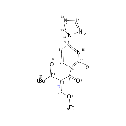 CCO/C=C(\C(=O)c1ccc(-n2cncn2)nc1C)C(=O)C(C)(C)C